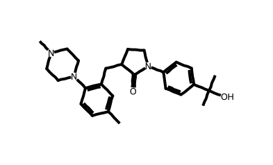 Cc1ccc(N2CCN(C)CC2)c(CC2CCN(c3ccc(C(C)(C)O)cc3)C2=O)c1